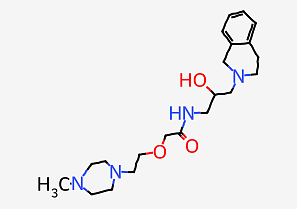 CN1CCN(CCOCC(=O)NCC(O)CN2CCc3ccccc3C2)CC1